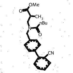 CCCCC(=O)N(Cc1ccc(-c2ccccc2C#N)cc1)CC(C)C(=O)OC